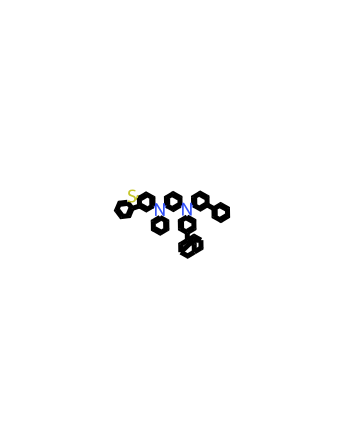 c1ccc(-c2cccc(N(c3ccc(C45CC6CC(CC(C6)C4)C5)cc3)c3cccc(N(c4ccccc4)c4ccc5sc6ccccc6c5c4)c3)c2)cc1